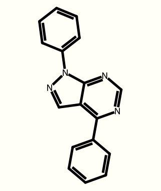 c1ccc(-c2ncnc3c2cnn3-c2ccccc2)cc1